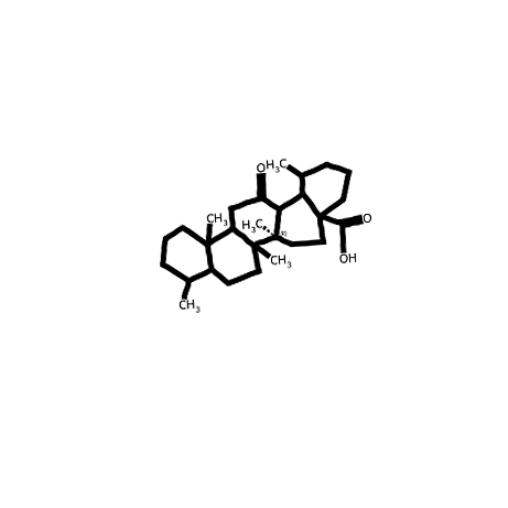 CC1CCCC2(C(=O)O)CC[C@]3(C)C(C(=O)CC4C5(C)CCCC(C)C5CCC43C)C12